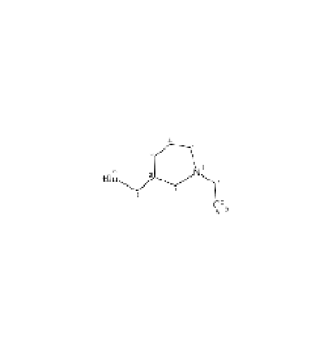 CC(C)(C)CC1CCCN(CC(F)(F)F)C1